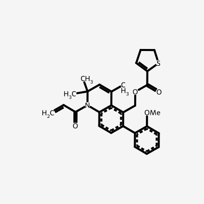 C=CC(=O)N1c2ccc(-c3ccccc3OC)c(COC(=O)C3=CCCS3)c2C(C)=CC1(C)C